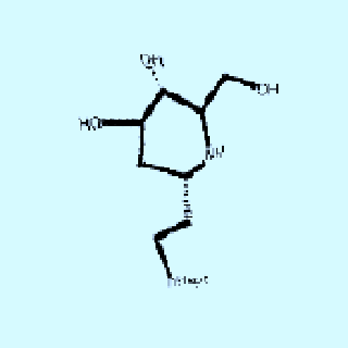 CCCCCCCCC[C@@H]1CC(O)[C@H](O)C(CO)N1